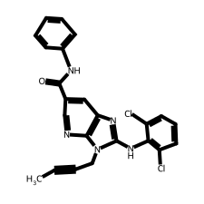 CC#CCn1c(Nc2c(Cl)cccc2Cl)nc2cc(C(=O)Nc3ccccc3)cnc21